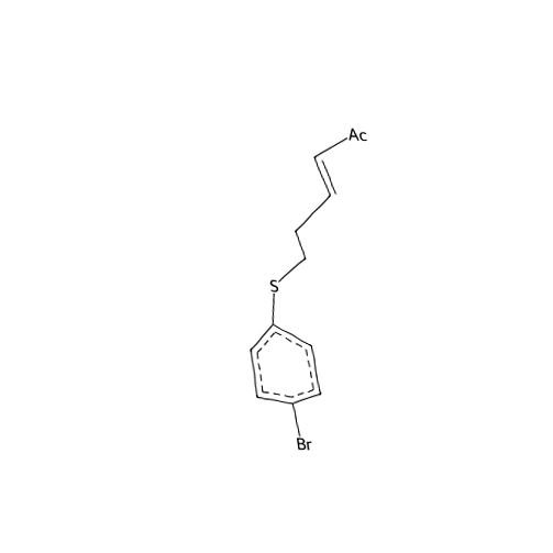 CC(=O)/C=C/CCSc1ccc(Br)cc1